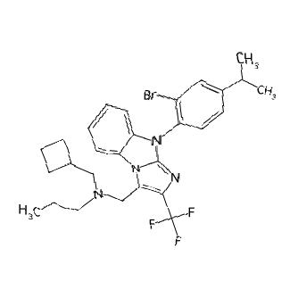 CCCN(Cc1c(C(F)(F)F)nc2n(-c3ccc(C(C)C)cc3Br)c3ccccc3n12)CC1CCC1